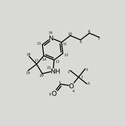 CC(C)(C)OC=O.CCCCc1cc2c(cn1)C(C)(C)CN2